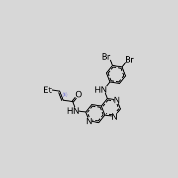 CC/C=C/C(=O)Nc1cc2c(Nc3ccc(Br)c(Br)c3)ncnc2cn1